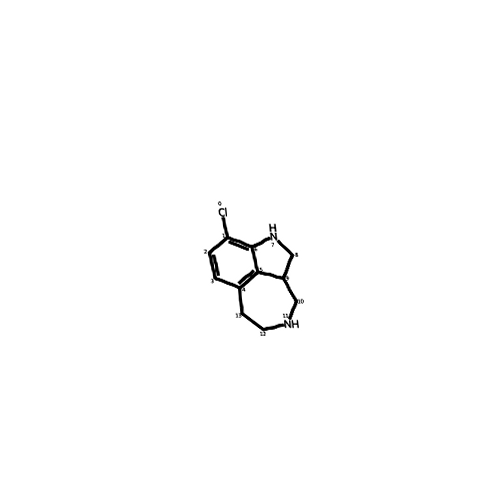 Clc1ccc2c3c1NCC3CNCC2